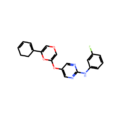 Fc1cccc(Nc2ncc(OC3=COC=C(C4=CC=CCC4)O3)cn2)c1